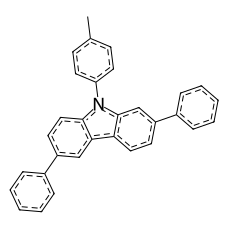 Cc1ccc(-n2c3ccc(-c4ccccc4)cc3c3ccc(-c4ccccc4)cc32)cc1